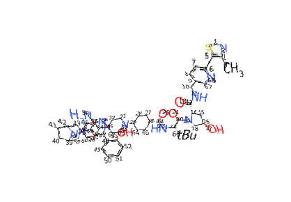 Cc1ncsc1-c1ccc(CNC(=O)[C@@H]2C[C@@H](O)CN2C(=O)[C@@H](NC(=O)[C@H]2CC[C@@H](N3CCC(c4ccc(N5C6CCC5CN(c5cc(-c7ccccc7O)nnc5N)C6)cc4)CC3)CC2)C(C)(C)C)cn1